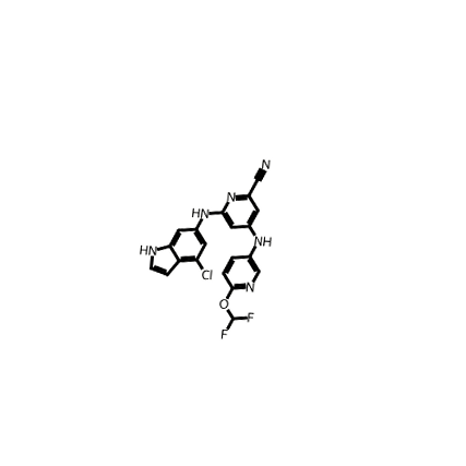 N#Cc1cc(Nc2ccc(OC(F)F)nc2)cc(Nc2cc(Cl)c3cc[nH]c3c2)n1